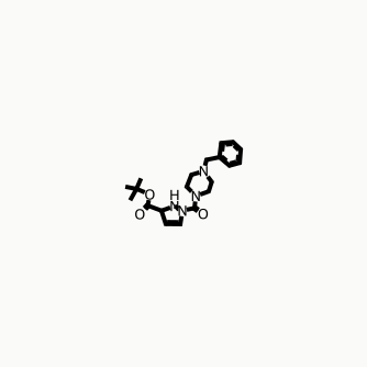 CC(C)(C)OC(=O)C1C=CN(C(=O)N2CCN(Cc3ccccc3)CC2)N1